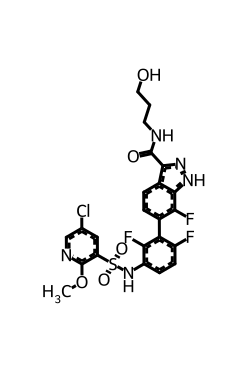 COc1ncc(Cl)cc1S(=O)(=O)Nc1ccc(F)c(-c2ccc3c(C(=O)NCCCO)n[nH]c3c2F)c1F